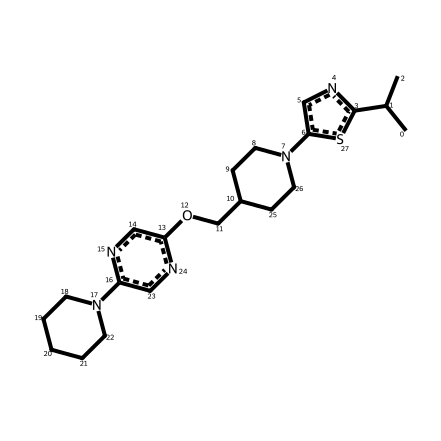 CC(C)c1ncc(N2CCC(COc3cnc(N4CCCCC4)cn3)CC2)s1